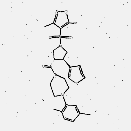 Cc1ccc(C)c(N2CCN(C(=O)[C@@H]3CN(S(=O)(=O)c4c(C)noc4C)C[C@H]3c3ccsc3)CC2)c1